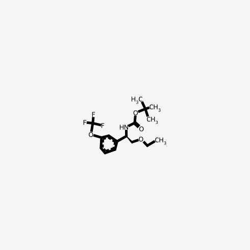 CCOC[C@H](NC(=O)OC(C)(C)C)c1cccc(OC(F)(F)F)c1